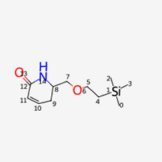 C[Si](C)(C)CCOCC1CC=CC(=O)N1